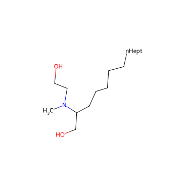 CCCCCCCCCCCCC(CO)N(C)CCO